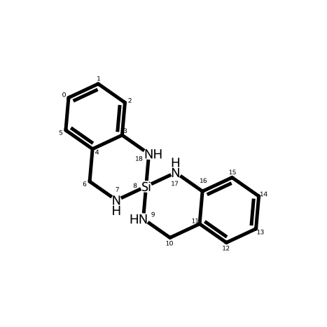 c1ccc2c(c1)CN[Si]1(NCc3ccccc3N1)N2